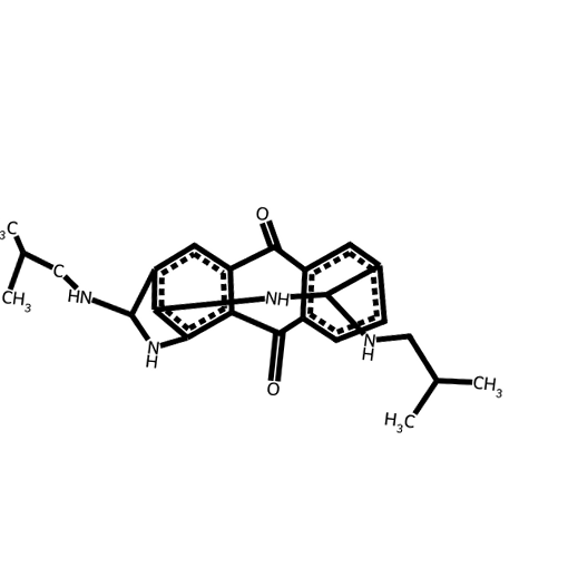 CC(C)CNC1Nc2c3cc4c(c2NC3NCC(C)C)C(=O)c2ccc1cc2C4=O